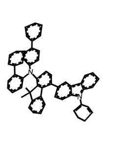 CC1(C)c2ccccc2-c2c(-c3ccc4c(c3)c3ccccc3n4C3=CCCC=C3)ccc(N(c3ccc(-c4ccccc4)cc3)c3ccccc3-c3ccccc3)c21